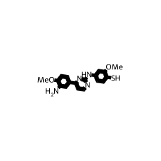 COc1ccc(-c2ccnc(Nc3ccc(S)c(OC)c3)n2)cc1N